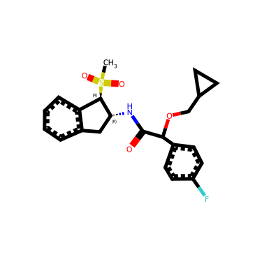 CS(=O)(=O)[C@@H]1c2ccccc2C[C@H]1NC(=O)C(OCC1CC1)c1ccc(F)cc1